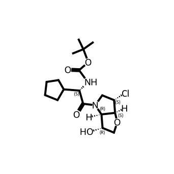 CC(C)(C)OC(=O)N[C@H](C(=O)N1C[C@H](Cl)[C@H]2OC[C@H](O)[C@H]21)C1CCCC1